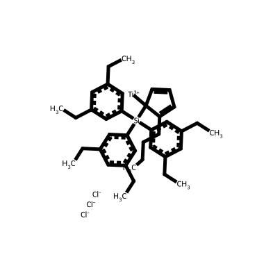 CCCCC1=CC=C[C]1([Ti+3])[Si](c1cc(CC)cc(CC)c1)(c1cc(CC)cc(CC)c1)c1cc(CC)cc(CC)c1.[Cl-].[Cl-].[Cl-]